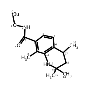 Cc1c(C(=O)NOC(C)(C)C)ccc2c1NC(C)(C)CC2C